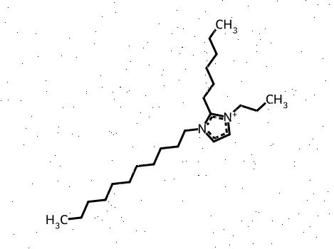 CCCCCCCCCCCn1cc[n+](CCC)c1CCCCCC